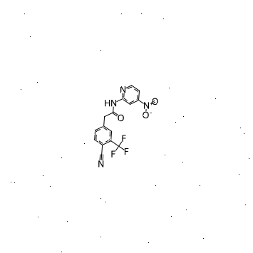 N#Cc1ccc(CC(=O)Nc2cc([N+](=O)[O-])ccn2)cc1C(F)(F)F